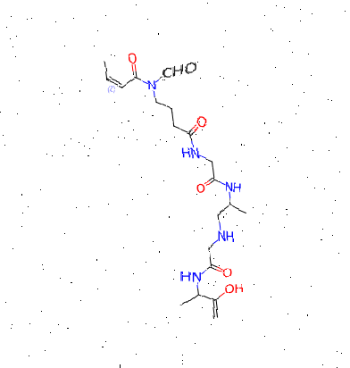 C=C(O)C(C)NC(=O)CNCC(C)NC(=O)CNC(=O)CCCN(C=O)C(=O)/C=C\C